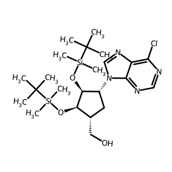 CC(C)(C)[Si](C)(C)O[C@@H]1[C@@H](CO)C[C@@H](n2cnc3c(Cl)ncnc32)[C@@H]1O[Si](C)(C)C(C)(C)C